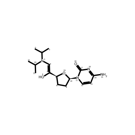 CC(C)N(C=C(O)[C@@H]1CC[C@H](n2ccc(N)nc2=O)O1)C(C)C